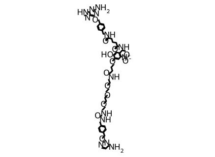 CC(NC(=O)CCCC(=O)NCc1ccc(COc2nc(N)nc3[nH]cnc23)cc1)c1cc(O)c(OCCCC(=O)NCCOCCOCCOCCNC(=O)NCc2ccc(COc3nccc(N)n3)cc2)cc1[N+](=O)[O-]